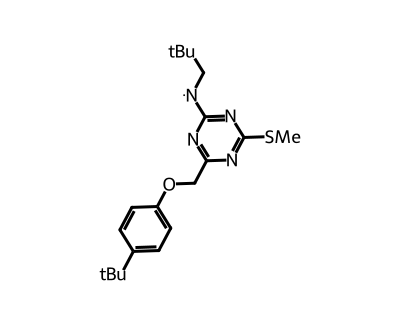 CSc1nc(COc2ccc(C(C)(C)C)cc2)nc([N]CC(C)(C)C)n1